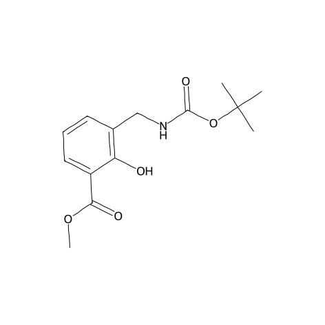 COC(=O)c1cccc(CNC(=O)OC(C)(C)C)c1O